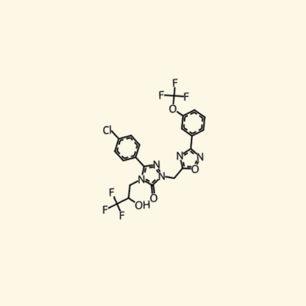 O=c1n(Cc2nc(-c3cccc(OC(F)(F)F)c3)no2)nc(-c2ccc(Cl)cc2)n1CC(O)C(F)(F)F